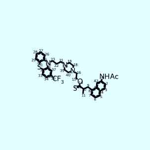 CC(=O)Nc1ccc2cccc(CC(C)C(=S)OCCN3CCN(CCCN4c5ccccc5Sc5ccc(C(F)(F)F)cc54)CC3)c2c1